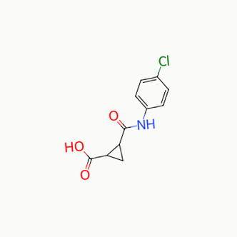 O=C(O)C1CC1C(=O)Nc1ccc(Cl)cc1